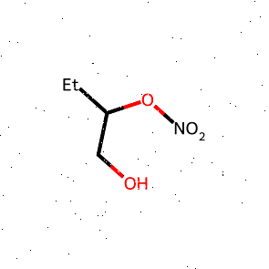 CCC(CO)O[N+](=O)[O-]